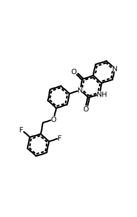 O=c1[nH]c2cnccc2c(=O)n1-c1cccc(OCc2c(F)cccc2F)c1